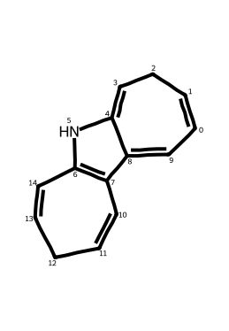 C1=CCC=c2[nH]c3c(c2=C1)C=CCC=C3